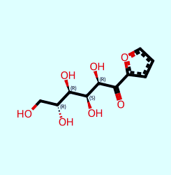 O=C(c1ccco1)[C@H](O)[C@@H](O)[C@H](O)[C@H](O)CO